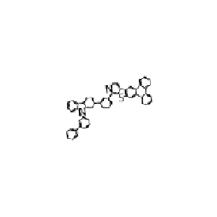 c1ccc(-c2cccc(-n3c4ccccc4c4ccc(-c5cccc(-c6nccc7c6sc6cc8c9ccccc9c9ccccc9c8cc67)c5)cc43)c2)cc1